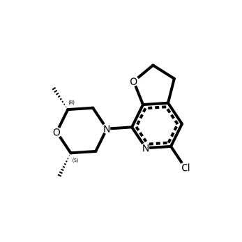 C[C@@H]1CN(c2nc(Cl)cc3c2OCC3)C[C@H](C)O1